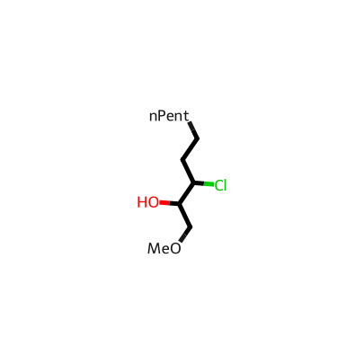 CCCCCCCC(Cl)C(O)COC